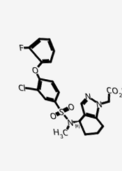 CN([C@@H]1CCCc2c1cnn2CC(=O)O)S(=O)(=O)c1ccc(Oc2ccccc2F)c(Cl)c1